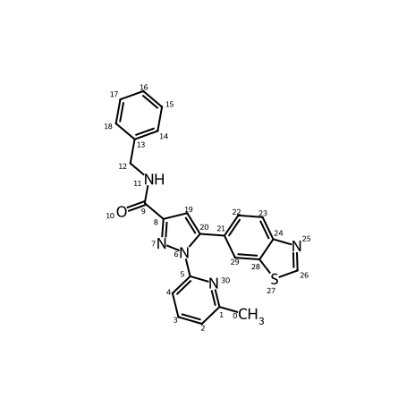 Cc1cccc(-n2nc(C(=O)NCc3ccccc3)cc2-c2ccc3ncsc3c2)n1